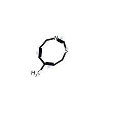 CC1=C/CS/C=N\C/C=C\1